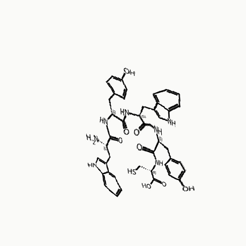 N[C@@H](Cc1c[nH]c2ccccc12)C(=O)N[C@@H](Cc1ccc(O)cc1)C(=O)N[C@@H](Cc1c[nH]c2ccccc12)C(=O)N[C@@H](Cc1ccc(O)cc1)C(=O)N[C@@H](CS)C(=O)O